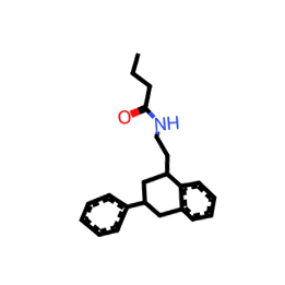 CCCC(=O)NCCC1CC(c2ccccc2)Cc2ccccc21